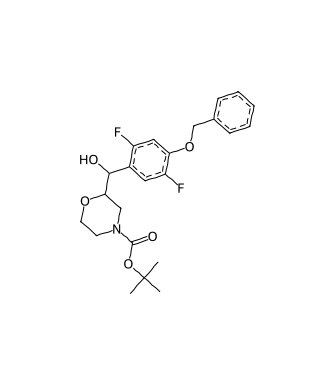 CC(C)(C)OC(=O)N1CCOC(C(O)c2cc(F)c(OCc3ccccc3)cc2F)C1